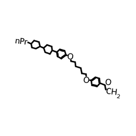 C=CC(=O)c1ccc(OCCCCCCOc2ccc(C3CCC(C4CCC(CCC)CC4)CC3)cc2)cc1